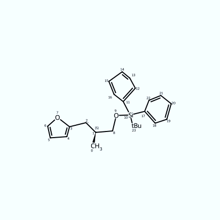 C[C@@H]([CH]c1ccco1)CO[Si](c1ccccc1)(c1ccccc1)C(C)(C)C